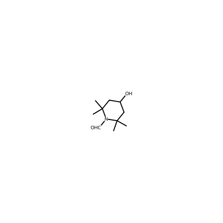 CC1(C)CC(O)CC(C)(C)N1C=O